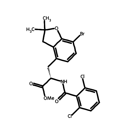 COC(=O)[C@H](Cc1ccc(Br)c2c1CC(C)(C)O2)NC(=O)c1c(Cl)cccc1Cl